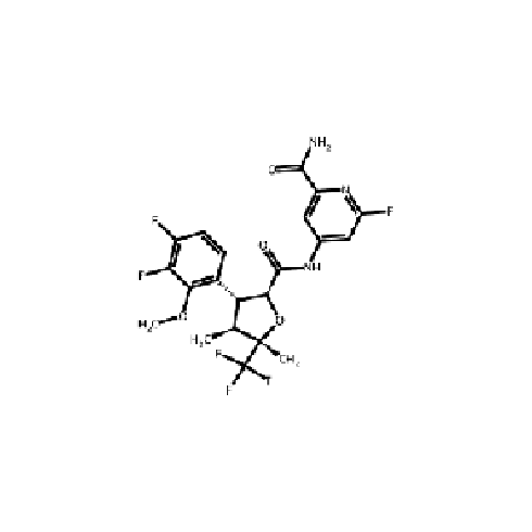 COc1c([C@@H]2[C@@H](C(=O)Nc3cc(F)nc(C(N)=O)c3)O[C@](C)(C(F)(F)F)[C@H]2C)ccc(F)c1F